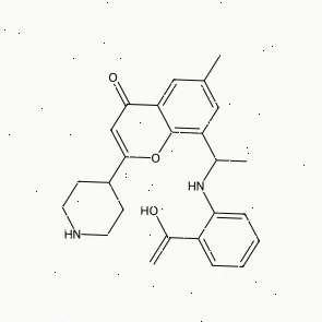 C=C(O)c1ccccc1NC(C)c1cc(C)cc2c(=O)cc(C3CCNCC3)oc12